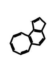 [C]1=CCc2ccc3c(c21)C=CC=CC=C3